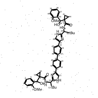 COc1ccccc1C(O)C1(C(=O)NC(c2nc(-c3ccc(-c4ccc(-c5c[nH]c(C(NC(=O)C6(C(O)c7ccccc7OC)CC6)C(C)(C)C)n5)cc4)cc3)c[nH]2)C(C)(C)C)CC1